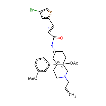 C=CCN1CC[C@@]2(c3cccc(OC)c3)C[C@H](NC(=O)/C=C/c3cc(Br)cs3)CC[C@]2(OC(C)=O)C1